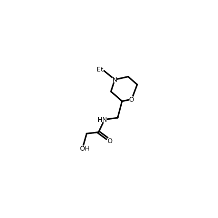 CCN1CCOC(CNC(=O)CO)C1